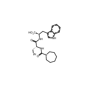 CC(C)C[C@@H](NC(=O)N1CCCCCC1)C(=O)N[C@H](Cc1c[nH]c2ccccc12)C(=O)O